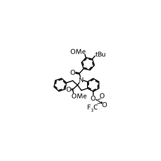 COC(=O)C1(Cc2ccccc2)Cc2c(OS(=O)(=O)C(F)(F)F)cccc2N1C(=O)c1ccc(C(C)(C)C)c(OC)c1